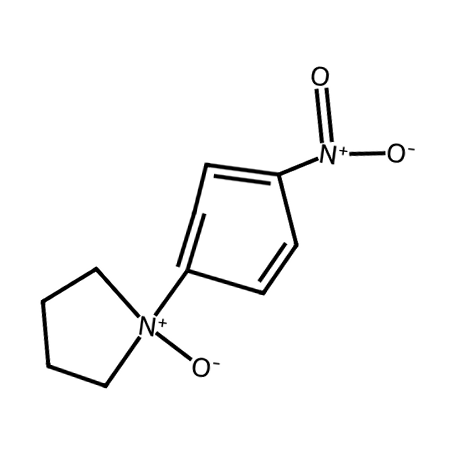 O=[N+]([O-])c1ccc([N+]2([O-])CCCC2)cc1